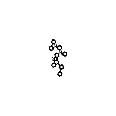 c1ccc(-c2cccc(-c3cc4c5cc(N(c6ccccc6)c6cccc(-n7c8ccccc8c8ccccc87)c6)ccc5oc4c4ccccc34)c2)cc1